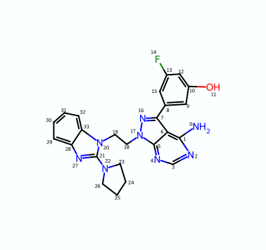 Nc1ncnc2c1c(-c1cc(O)cc(F)c1)nn2CCn1c(N2CCCC2)nc2ccccc21